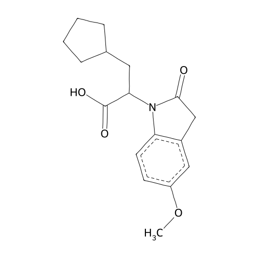 COc1ccc2c(c1)CC(=O)N2C(CC1CCCC1)C(=O)O